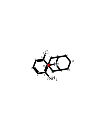 Nc1cccc(Cl)c1N1C2CCCC1CCC2